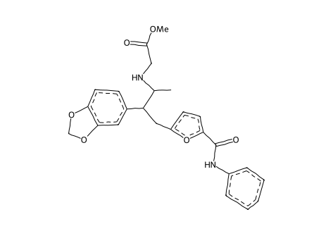 COC(=O)CNC(C)C(Cc1ccc(C(=O)Nc2ccccc2)o1)c1ccc2c(c1)OCO2